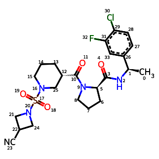 C[C@@H](NC(=O)[C@H]1CCCN1C(=O)[C@H]1CCCN(S(=O)(=O)N2CC(C#N)C2)C1)c1ccc(Cl)c(F)c1